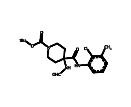 Cc1cccc(NC(=O)C2(NC=O)CCN(C(=O)OC(C)(C)C)CC2)c1Cl